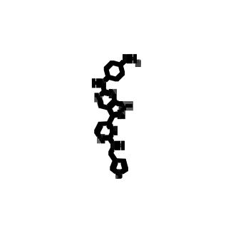 NC1CCC(Nc2ncc3c(-c4ccnc(NCc5ccsc5)n4)n[nH]c3n2)CC1